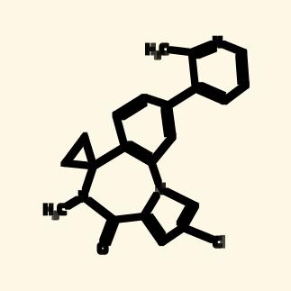 Cc1ncccc1-c1ccc2c(c1)-n1cc(Cl)cc1C(=O)N(C)C21CC1